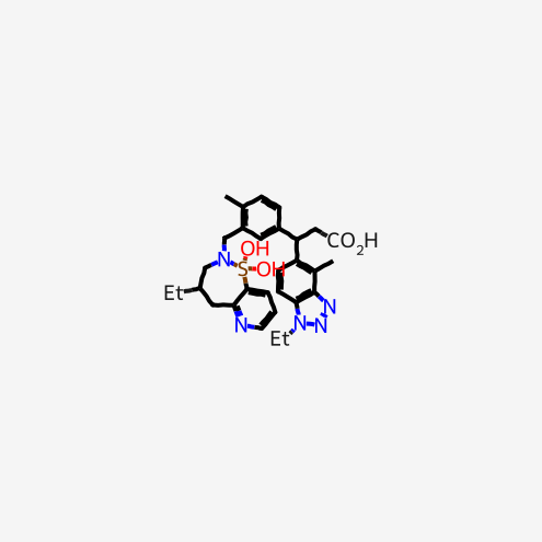 CCC1Cc2ncccc2S(O)(O)N(Cc2cc(C(CC(=O)O)c3ccc4c(nnn4CC)c3C)ccc2C)C1